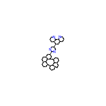 c1cnc2c(c1)cc(-c1cnc(-c3cc4ccc5cccc6c7cccc8ccc9cccc(c(c3)c4c56)c9c87)nc1)c1cccnc12